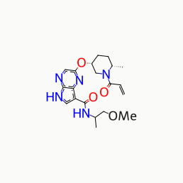 C=CC(=O)N1C[C@H](Oc2cnc3[nH]cc(C(=O)NC(C)COC)c3n2)CC[C@@H]1C